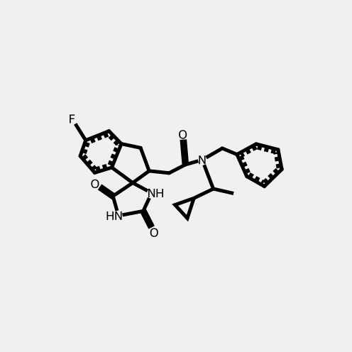 CC(C1CC1)N(Cc1ccccc1)C(=O)CC1Cc2cc(F)ccc2C12NC(=O)NC2=O